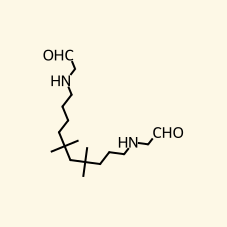 CC(C)(CCCCNCC=O)CC(C)(C)CCCNCC=O